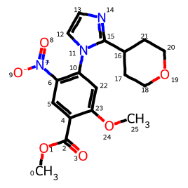 COC(=O)c1cc([N+](=O)[O-])c(-n2ccnc2C2CCOCC2)cc1OC